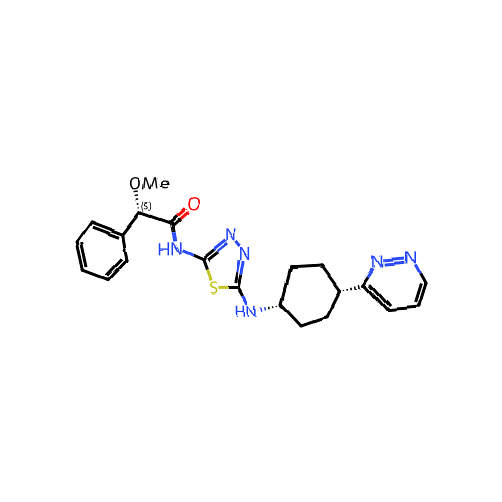 CO[C@H](C(=O)Nc1nnc(N[C@H]2CC[C@@H](c3cccnn3)CC2)s1)c1ccccc1